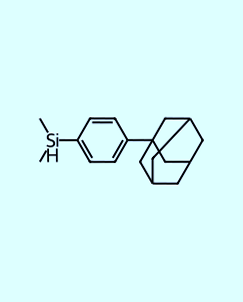 C[SiH](C)c1ccc(C23CC4CC(CC(C4)C2)C3)cc1